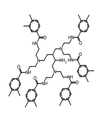 Cc1ccc(C(=O)NCCN(CCNC(=O)c2ccc(C)c(C)c2)CCC(CN(CCNC(=O)c2ccc(C)c(C)c2)CCNC(=O)c2ccc(C)c(C)c2)C(N)CN(CCNC(=O)c2ccc(C)c(C)c2)CCNC(=O)c2ccc(C)c(C)c2)cc1C